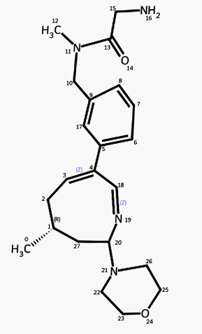 C[C@@H]1C/C=C(c2cccc(CN(C)C(=O)CN)c2)\C=N/C(N2CCOCC2)C1